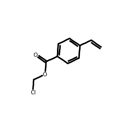 C=Cc1ccc(C(=O)OCCl)cc1